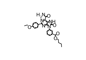 CCCCOC(=O)c1cccc(-n2c(=O)[nH]c3c(C(N)=O)nc(-c4ccc(OCC)cc4)nc32)c1